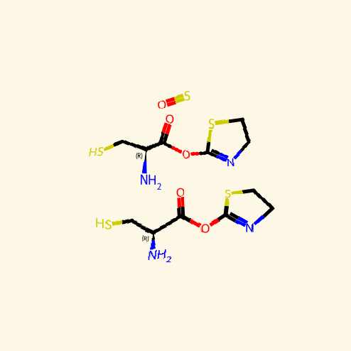 N[C@@H](CS)C(=O)OC1=NCCS1.N[C@@H](CS)C(=O)OC1=NCCS1.O=S